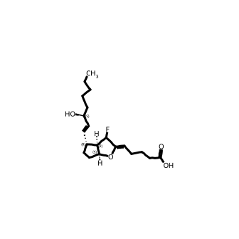 CCCCC[C@H](O)C=C[C@H]1CC[C@@H]2OC(=CCCCC(=O)O)C(F)[C@@H]21